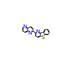 c1cnc2ccc(-c3ccc4sc5ccccc5c4n3)nc2c1